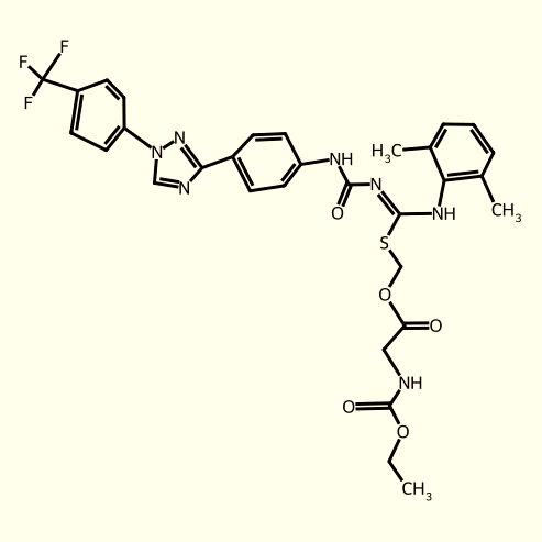 CCOC(=O)NCC(=O)OCS/C(=N\C(=O)Nc1ccc(-c2ncn(-c3ccc(C(F)(F)F)cc3)n2)cc1)Nc1c(C)cccc1C